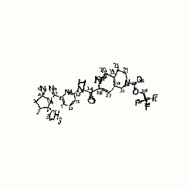 C[C@H]1CCc2nnc(-c3cccc(NC(=O)c4cc5c(cn4)CCN(C(=O)OCC(F)(F)F)C5)n3)n21